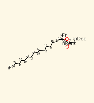 CCCCCCCCCCCC(=O)OC(CC)(CCCCC)CCCCCCCCCCCCCCCC(C)C